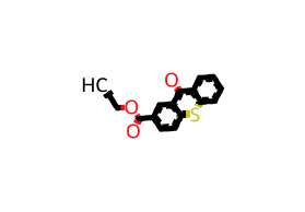 C#CCOC(=O)c1ccc2sc3ccccc3c(=O)c2c1